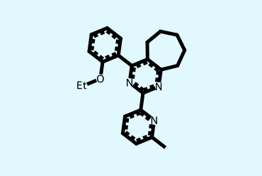 CCOc1ccccc1-c1nc(-c2cccc(C)n2)nc2c1CCCCC2